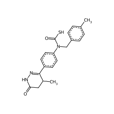 Cc1ccc(CN(C(=O)S)c2ccc(C3=NNC(=O)CC3C)cc2)cc1